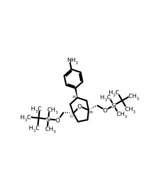 CC(C)(C)[Si](C)(C)OC[C@@]12CC[C@@](CO[Si](C)(C)C(C)(C)C)(C[C@@H](c3ccc(N)cc3)C1)O2